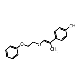 C/C(=C\OCCOc1ccccc1)c1ccc(C)cc1